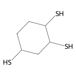 SC1CCC(S)C(S)C1